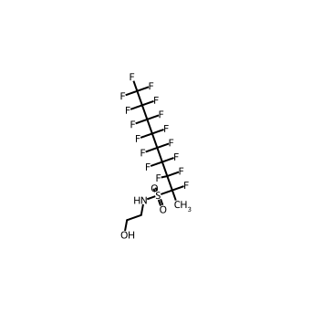 CC(F)(C(F)(F)C(F)(F)C(F)(F)C(F)(F)C(F)(F)C(F)(F)C(F)(F)F)S(=O)(=O)NCCO